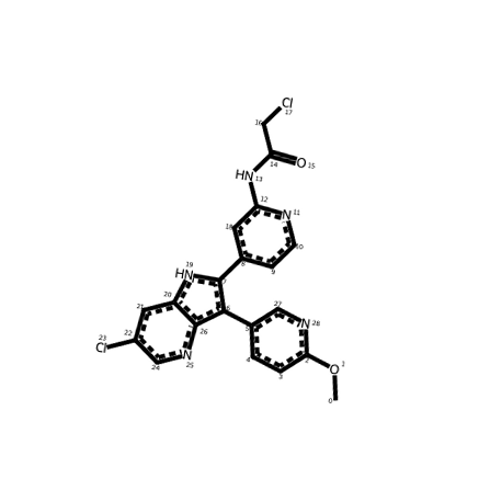 COc1ccc(-c2c(-c3ccnc(NC(=O)CCl)c3)[nH]c3cc(Cl)cnc23)cn1